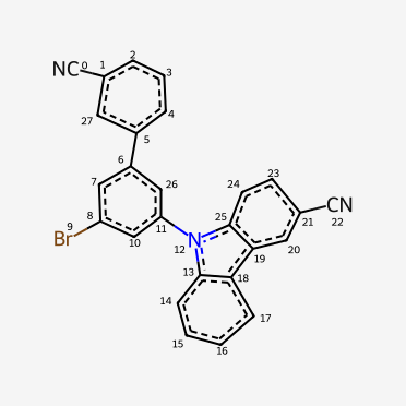 N#Cc1cccc(-c2cc(Br)cc(-n3c4ccccc4c4cc(C#N)ccc43)c2)c1